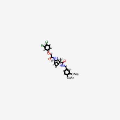 COc1ccc(CNC(=O)[C@@H]2C[C@H](NC(=O)COc3ccc(Cl)c(F)c3)C3CC2C3)cc1OC